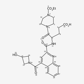 CCOC(=O)N1CCN(C(=O)C(CCC(=O)O)NC(=O)c2cc(C(=O)N3CC(O)C3)c3ccccc3n2)CC1